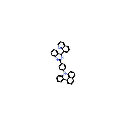 c1ccc2c(c1)-c1cccc3cccc(c13)N2c1ccc(-c2nc(-c3cccc4cccnc34)c3ccccc3n2)cc1